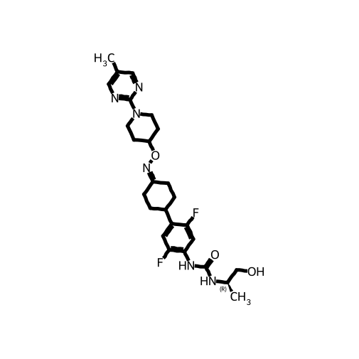 Cc1cnc(N2CCC(ON=C3CCC(c4cc(F)c(NC(=O)N[C@H](C)CO)cc4F)CC3)CC2)nc1